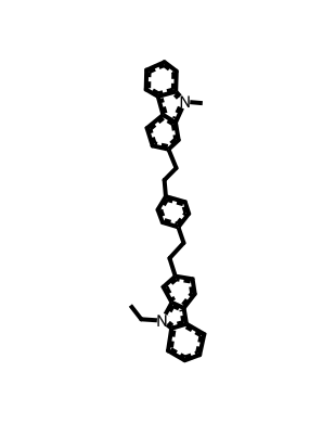 CCn1c2ccccc2c2ccc(CCc3ccc(CCc4ccc5c6ccccc6n(C)c5c4)cc3)cc21